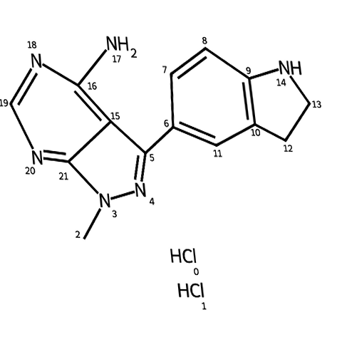 Cl.Cl.Cn1nc(-c2ccc3c(c2)CCN3)c2c(N)ncnc21